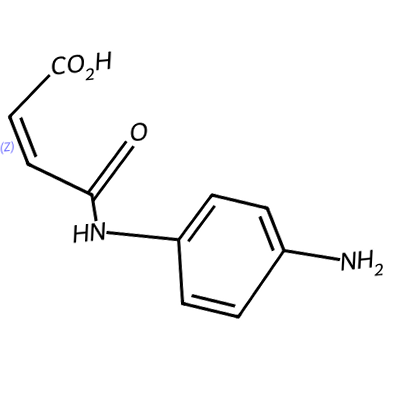 Nc1ccc(NC(=O)/C=C\C(=O)O)cc1